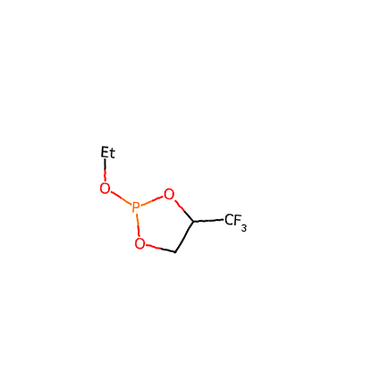 CCOP1OCC(C(F)(F)F)O1